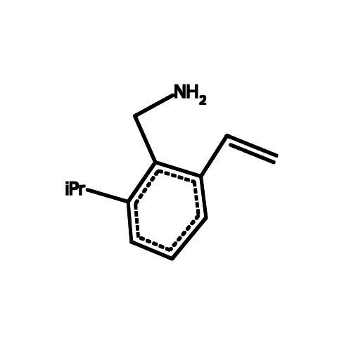 C=Cc1cccc(C(C)C)c1CN